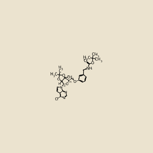 CC(C)(C)OC(=O)NCc1cccc(OC[C@H]2O[C@@H](n3ccc4c(Cl)ncnc43)[C@@H]3OC(C)(C)O[C@]23C)c1